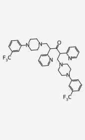 O=C(C(CN1CCN(c2cccc(C(F)(F)F)c2)CC1)c1ccccn1)C(CN1CCN(c2cccc(C(F)(F)F)c2)CC1)c1ccccn1